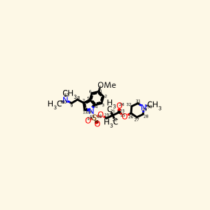 COc1ccc2c(c1)c(CCN(C)C)cn2S(=O)(=O)OCC(C)(C)C(=O)OC1CCN(C)CC1